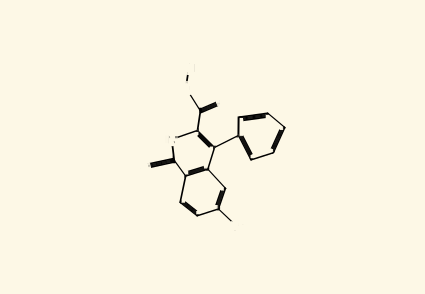 COC(=O)c1[nH]c(=O)c2ccc(Br)cc2c1-c1ccccc1